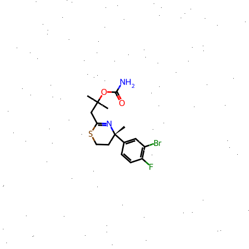 CC(C)(CC1=N[C@](C)(c2ccc(F)c(Br)c2)CCS1)OC(N)=O